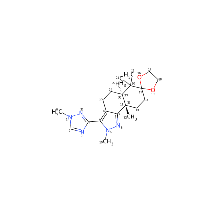 Cn1cnc(-c2c3c(nn2C)[C@@]2(C)CCC4(OCCO4)C(C)(C)[C@@H]2CC3)n1